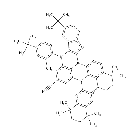 Cc1cc(C(C)(C)C)ccc1N1c2cc(C#N)cc3c2B(c2ccc4c5c2N3c2cc3c(cc2C5(C)CCC4(C)C)C(C)(C)CCC3(C)C)c2oc3ccc(C(C)(C)C)cc3c21